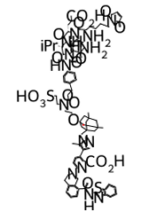 Cc1c(-c2ccc(N3CCc4cccc(C(=O)Nc5nc6ccccc6s5)c4C3)nc2C(=O)O)cnn1CC12CC3(C)CC(C)(C1)CC(OCCN(CCS(=O)(=O)O)C(=O)OCc1ccc(NC(=O)N(C(=O)[C@@H](NC(=O)[C@H](CCC(=O)O)NC(=O)CCCCCN4C(=O)C=CC4=O)C(C)C)[C@@H](CCCN)C(N)=O)cc1)(C3)C2